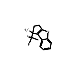 CC1(C(F)(F)F)CCC2=C1c1ccccc1[N]2